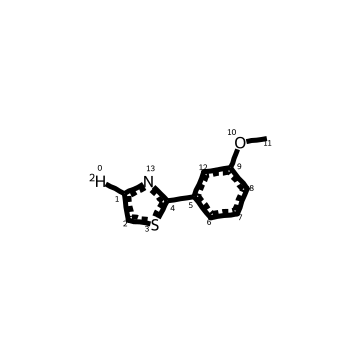 [2H]c1csc(-c2cccc(OC)c2)n1